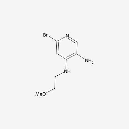 COCCNc1cc(Br)ncc1N